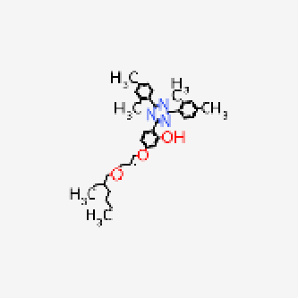 CCCCC(CC)COC[CH]COc1ccc(-c2nc(-c3ccc(C)cc3C)nc(-c3ccc(C)cc3C)n2)c(O)c1